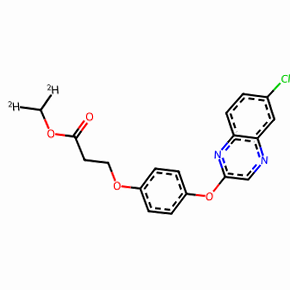 [2H]C([2H])OC(=O)CCOc1ccc(Oc2cnc3cc(Cl)ccc3n2)cc1